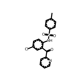 Cc1ccc(S(=O)(=O)Nc2ccc(Cl)cc2C(=O)c2ccccn2)cc1